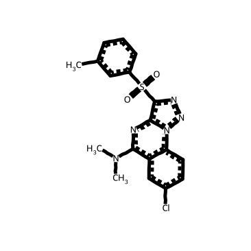 Cc1cccc(S(=O)(=O)c2nnn3c2nc(N(C)C)c2cc(Cl)ccc23)c1